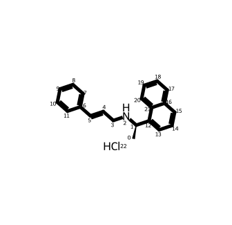 C[C@@H](NC/C=C/c1ccccc1)c1cccc2ccccc12.Cl